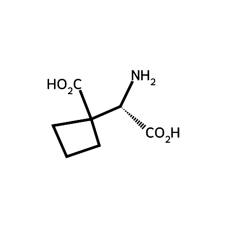 N[C@H](C(=O)O)C1(C(=O)O)CCC1